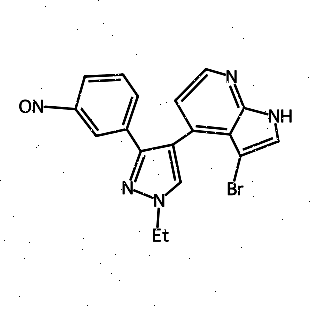 CCn1cc(-c2ccnc3[nH]cc(Br)c23)c(-c2cccc(N=O)c2)n1